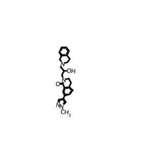 Cn1cc(-c2ccc3c(c2)C(=O)N(CC(O)CN2CCc4ccccc4C2)CC3)cn1